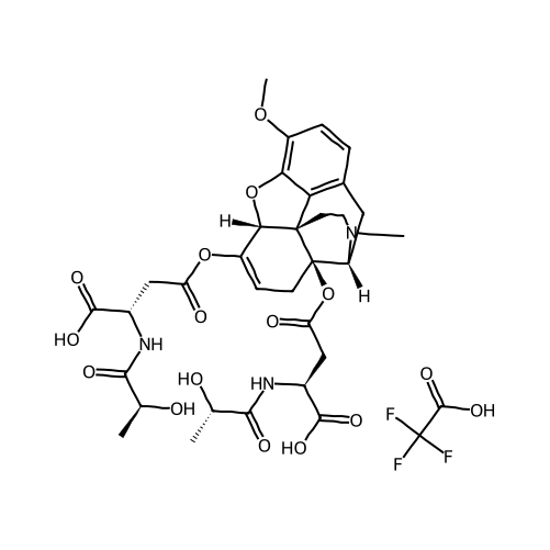 COc1ccc2c3c1O[C@H]1C(OC(=O)C[C@H](NC(=O)[C@H](C)O)C(=O)O)=CC[C@@]4(OC(=O)C[C@H](NC(=O)[C@H](C)O)C(=O)O)[C@@H](C2)N(C)CC[C@]314.O=C(O)C(F)(F)F